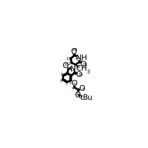 CC(C)(C)OC(=O)COc1cccc2c1C(=O)N([C@@]1(C)CCC(=O)NC1=O)C2=O